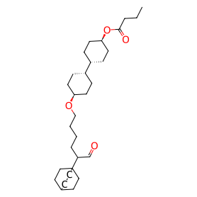 CCCC(=O)O[C@H]1CC[C@H]([C@H]2CC[C@H](OCCCCC(C=O)C34CCC(CC3)CC4)CC2)CC1